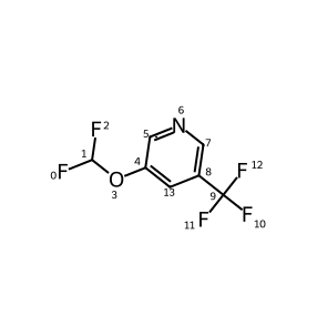 FC(F)Oc1[c]ncc(C(F)(F)F)c1